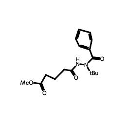 COC(=O)CCCC(=O)NN(C(=O)c1ccccc1)C(C)(C)C